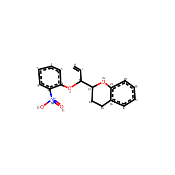 C=CC(Oc1ccccc1[N+](=O)[O-])C1CCc2ccccc2O1